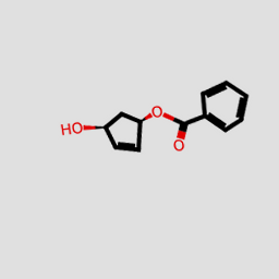 O=C(O[C@H]1C=C[C@@H](O)C1)c1ccccc1